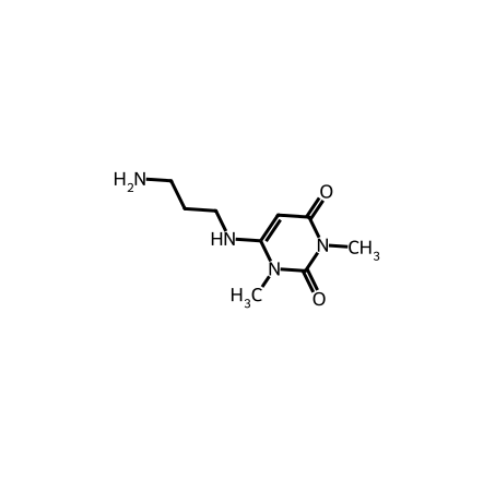 Cn1c(NCCCN)cc(=O)n(C)c1=O